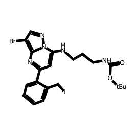 CC(C)(C)OC(=O)NCCCNc1cc(-c2ccccc2CI)nc2c(Br)cnn12